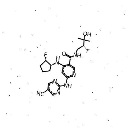 CC(C)(O)[C@H](F)CNC(=O)c1cnc(Nc2ncc(C#N)cn2)cc1N[C@H]1CCC[C@H]1F